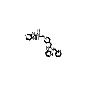 c1ccc(Cn2c(CC3CCN(CCNc4nc5cnccc5[nH]4)CC3)nc3cccnc32)nc1